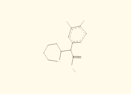 COC(=O)C(c1ccc(Cl)c(Cl)c1)C1CCCCN1